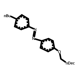 [CH2]CCCCCCCCCCOc1ccc(N=Nc2ccc(CCCC)cc2)cc1